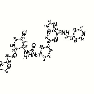 O=C(Nc1cccc(-c2cn3ccnc3c(NCc3ccncc3)n2)c1)Nc1cc(Cl)ccc1OCC1OCCO1